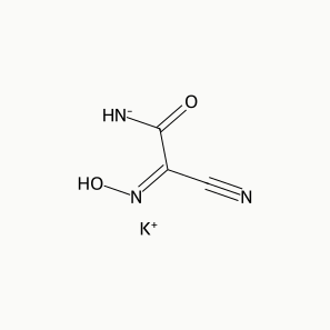 N#CC(=NO)C([NH-])=O.[K+]